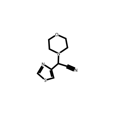 N#CC(c1cscn1)N1CCOCC1